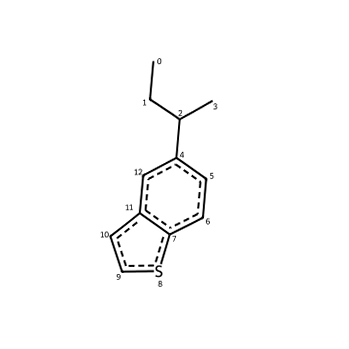 CCC(C)c1ccc2sccc2c1